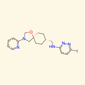 Ic1ccc(NC[C@H]2CC[C@]3(CC2)CN(c2ccccn2)CO3)nn1